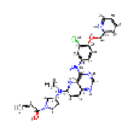 C=CC(=O)N1CC[C@H](N(C)c2ccc3ncnc(Nc4ccc(OCc5ccccn5)c(Cl)c4)c3n2)C1